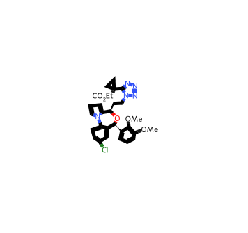 CCOC(=O)C1(c2nnnn2CC[C@H]2O[C@H](c3cccc(OC)c3OC)c3cc(Cl)ccc3-n3cccc32)CC1